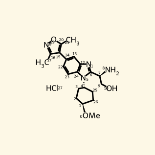 CO[C@H]1CC[C@H](n2c([C@@H](N)CO)nc3cc(-c4c(C)noc4C)ccc32)CC1.Cl